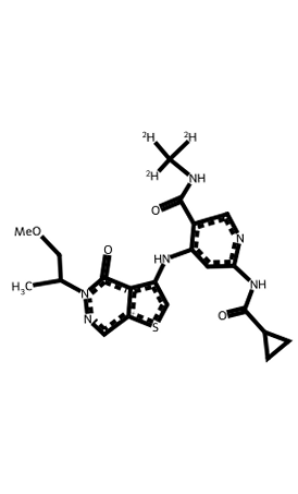 [2H]C([2H])([2H])NC(=O)c1cnc(NC(=O)C2CC2)cc1Nc1csc2cnn(C(C)COC)c(=O)c12